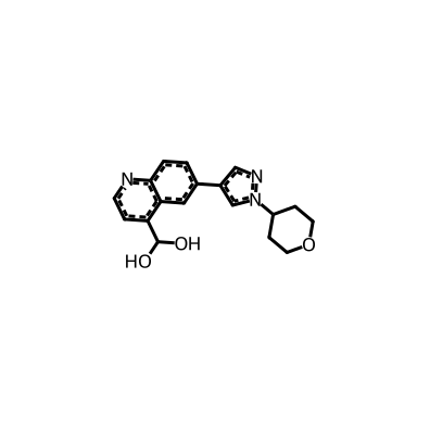 OC(O)c1ccnc2ccc(-c3cnn(C4CCOCC4)c3)cc12